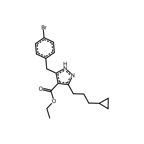 CCOC(=O)c1c(CCCC2CC2)n[nH]c1Cc1ccc(Br)cc1